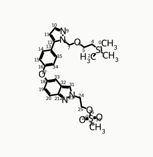 C[Si](C)(C)CCOCn1nccc1-c1ccc(Oc2ccc3nn(CCOS(C)(=O)=O)cc3c2)cc1